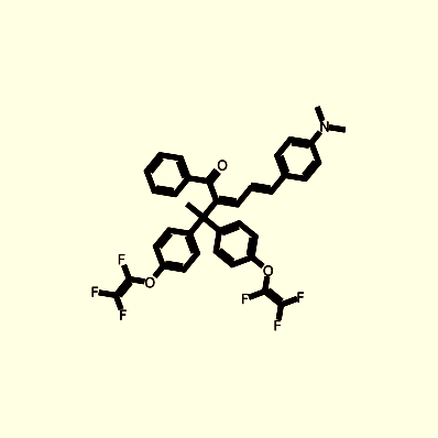 CN(C)c1ccc(C=CC=C(C(=O)c2ccccc2)C(C)(c2ccc(OC(F)=C(F)F)cc2)c2ccc(OC(F)=C(F)F)cc2)cc1